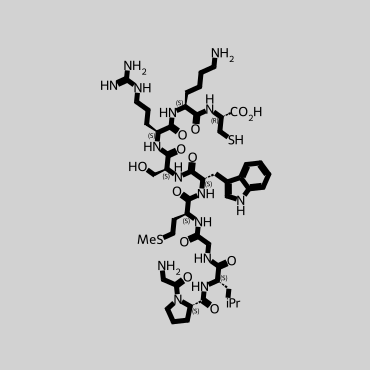 CSCC[C@H](NC(=O)CNC(=O)[C@H](CC(C)C)NC(=O)[C@@H]1CCCN1C(=O)CN)C(=O)N[C@@H](Cc1c[nH]c2ccccc12)C(=O)N[C@@H](CO)C(=O)N[C@@H](CCCNC(=N)N)C(=O)N[C@@H](CCCCN)C(=O)N[C@@H](CS)C(=O)O